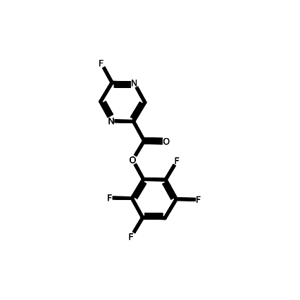 O=C(Oc1c(F)c(F)cc(F)c1F)c1cnc(F)cn1